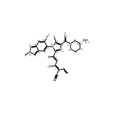 C=C/C(C#N)=C(F)\C=C(/C)c1nc(C(=O)N2CCC[C@@H](N)C2)c(C)n1-c1cc2cn(C)nc2cc1F